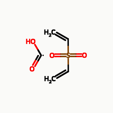 C=CS(=O)(=O)C=C.O=[C]O